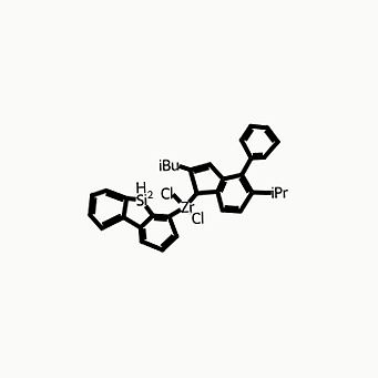 CCC(C)C1=Cc2c(ccc(C(C)C)c2-c2ccccc2)[CH]1[Zr]([Cl])([Cl])[c]1cccc2c1[SiH2]c1ccccc1-2